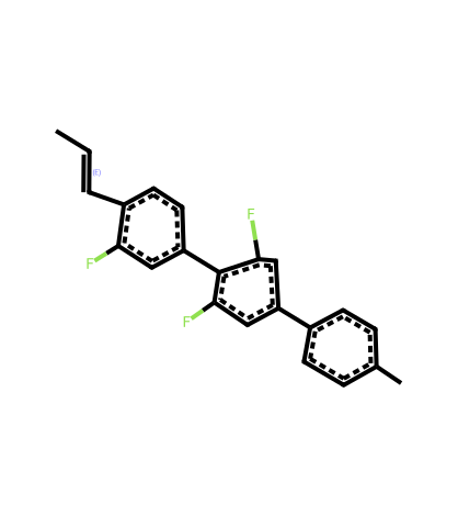 C/C=C/c1ccc(-c2c(F)cc(-c3ccc(C)cc3)cc2F)cc1F